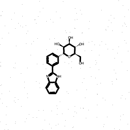 OC[C@H]1O[C@H](c2cccc(-c3nc4ccccc4[nH]3)c2)[C@@H](O)[C@@H](O)[C@@H]1O